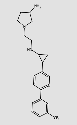 NC1CCN(CCNC2CC2c2ccc(-c3cccc(C(F)(F)F)c3)nc2)C1